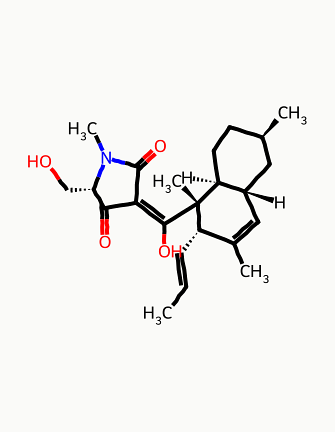 C/C=C/[C@H]1C(C)=C[C@H]2C[C@H](C)CC[C@@H]2[C@@]1(C)/C(O)=C1/C(=O)[C@H](CO)N(C)C1=O